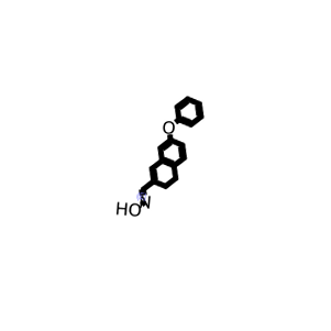 O/N=C/C1=Cc2cc(Oc3ccccc3)ccc2CC1